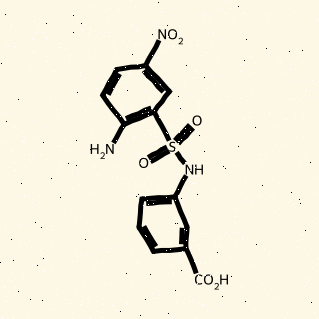 Nc1ccc([N+](=O)[O-])cc1S(=O)(=O)Nc1cccc(C(=O)O)c1